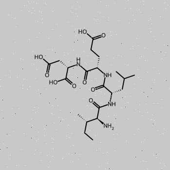 CC[C@H](C)[C@H](N)C(=O)N[C@@H](CC(C)C)C(=O)N[C@@H](CCC(=O)O)C(=O)N[C@@H](CC(=O)O)C(=O)O